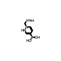 CCCCCCCN1C=CC(B(O)O)=CN1